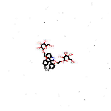 CC(C)(C)c1ccc(OCCOC2OC(CO)C(O)C(O)C2O)c(C2(c3cc(C(C)(C)C)ccc3OCCOC3OC(CO)C(O)C(O)C3O)C(=O)Nc3ccccc32)c1